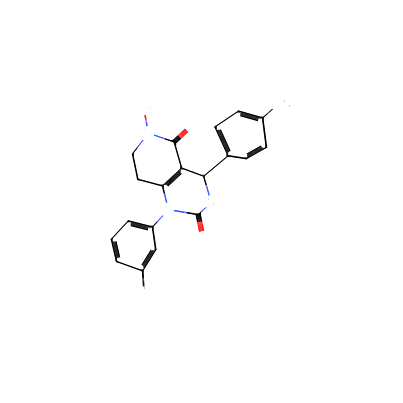 N#Cc1ccc(C2NC(=O)N(c3cccc(C(F)(F)F)c3)C3=C2C(=O)N(O)CC3)cc1